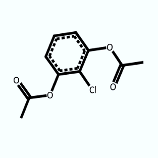 CC(=O)Oc1cccc(OC(C)=O)c1Cl